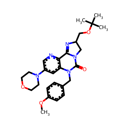 COc1ccc(CN2C(=O)N3CC(COC(C)(C)C)N=C3c3ncc(N4CCOCC4)cc32)cc1